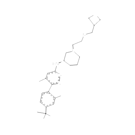 Cc1cc(N[C@@H]2CCCN(CCNCC3COC3)C2)nnc1-c1ccc(C(F)(F)F)cc1O